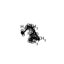 CC[C@@]1(O)C(=O)OCc2c1cc1n(c2=O)Cc2c-1nc1cc(F)c(C)c3c1c2[C@@H](NC(=O)OCc1ccc(NC(=O)[C@H](C)NC(=O)[C@@H](NC(=O)CCCCCN2C(=O)C=CC2=O)C(C)C)cc1C(=O)NCCN)CC3